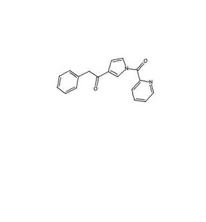 O=C(Cc1ccccc1)c1ccn(C(=O)c2ccccn2)c1